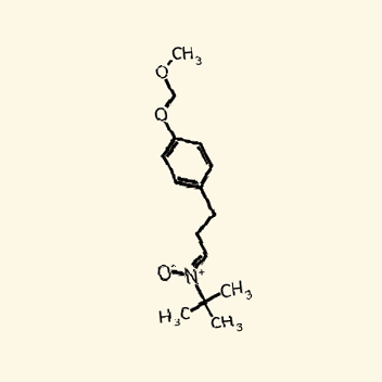 COCOc1ccc(CCC=[N+]([O-])C(C)(C)C)cc1